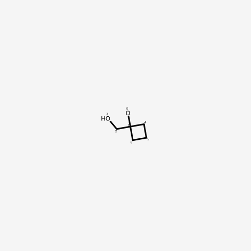 [O]C1(CO)CCC1